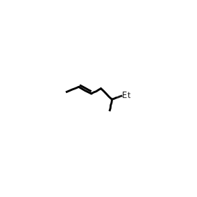 [CH2]CC(C)C/C=C/C